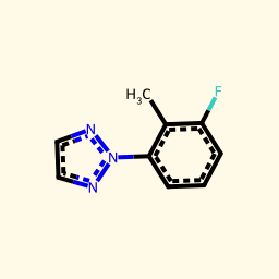 Cc1c(F)cccc1-n1nccn1